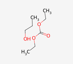 CCCO.CCOC(=O)OCC